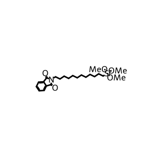 CO[Si](CCCCCCCCCCCCN1C(=O)c2ccccc2C1=O)(OC)OC